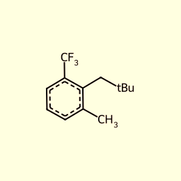 Cc1cccc(C(F)(F)F)c1CC(C)(C)C